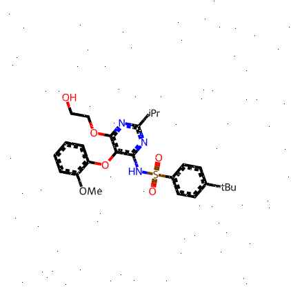 COc1ccccc1Oc1c(NS(=O)(=O)c2ccc(C(C)(C)C)cc2)nc(C(C)C)nc1OCCO